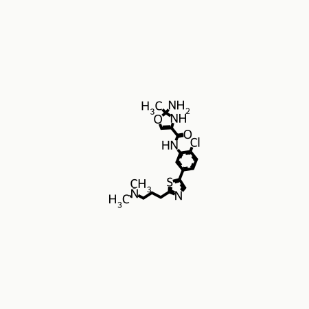 CN(C)CCCc1ncc(-c2ccc(Cl)c(NC(=O)C3=COC(C)(N)N3)c2)s1